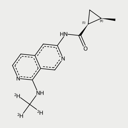 [2H]C([2H])([2H])Nc1nccc2cc(NC(=O)[C@H]3C[C@H]3C)ncc12